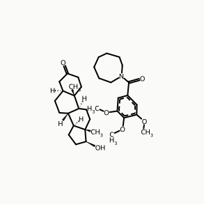 COc1cc(C(=O)N2CCCCCCC2)cc(OC)c1OC.C[C@]12CCC(=O)C[C@@H]1CC[C@@H]1[C@@H]2CC[C@]2(C)[C@@H](O)CC[C@@H]12